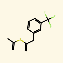 C=C(C)SC(=C)Cc1cccc(C(F)(F)F)c1